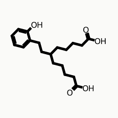 O=C(O)CCCCC(CCCCC(=O)O)CCc1ccccc1O